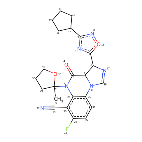 CC1(N2C(=O)C3C(c4nc(C5CCCC5)no4)N=CN3c3ccc(F)c(C#N)c32)CCCO1